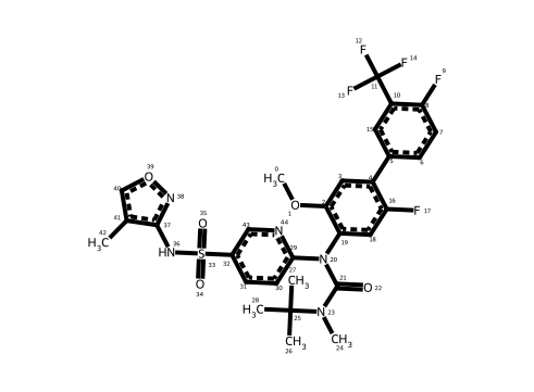 COc1cc(-c2ccc(F)c(C(F)(F)F)c2)c(F)cc1N(C(=O)N(C)C(C)(C)C)c1ccc(S(=O)(=O)Nc2nocc2C)cn1